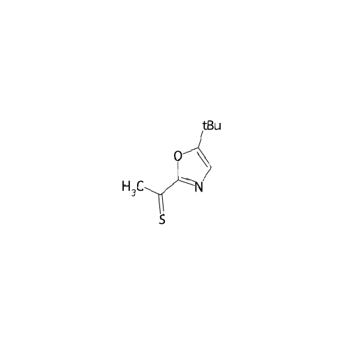 CC(=S)c1ncc(C(C)(C)C)o1